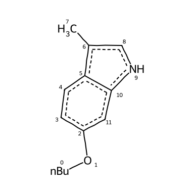 CCCCOc1ccc2c(C)c[nH]c2c1